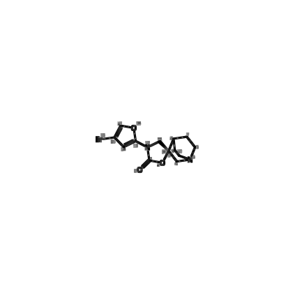 O=C1O[C@]2(CN3CCC2CC3)CN1c1cc(Br)co1